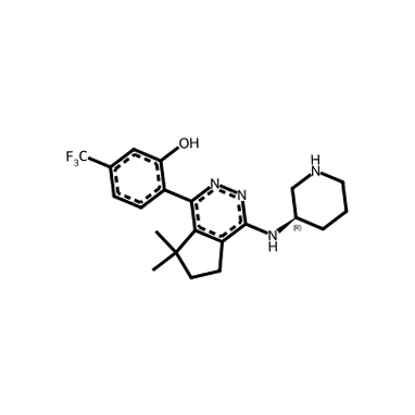 CC1(C)CCc2c(N[C@@H]3CCCNC3)nnc(-c3ccc(C(F)(F)F)cc3O)c21